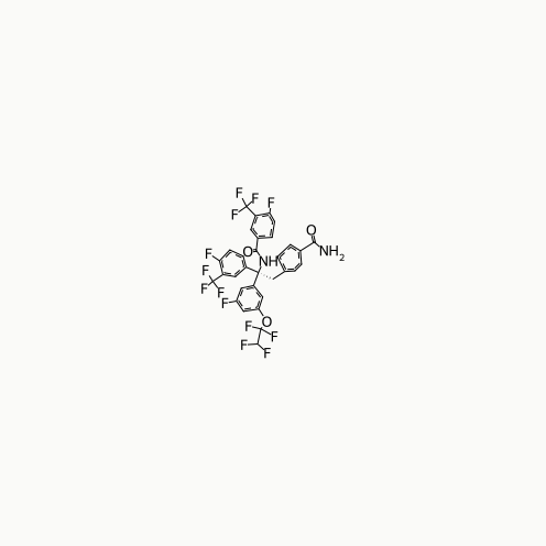 NC(=O)c1ccc(C[C@](NC(=O)c2ccc(F)c(C(F)(F)F)c2)(c2cc(F)cc(OC(F)(F)C(F)F)c2)c2ccc(F)c(C(F)(F)F)c2)cc1